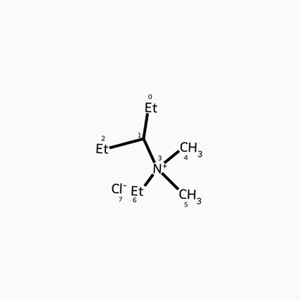 CCC(CC)[N+](C)(C)CC.[Cl-]